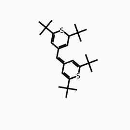 CC(C)(C)C1=CC(=CC2=CC(C(C)(C)C)SC(C(C)(C)C)=C2)C=C(C(C)(C)C)S1